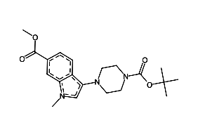 COC(=O)c1ccc2c(N3CCN(C(=O)OC(C)(C)C)CC3)cn(C)c2c1